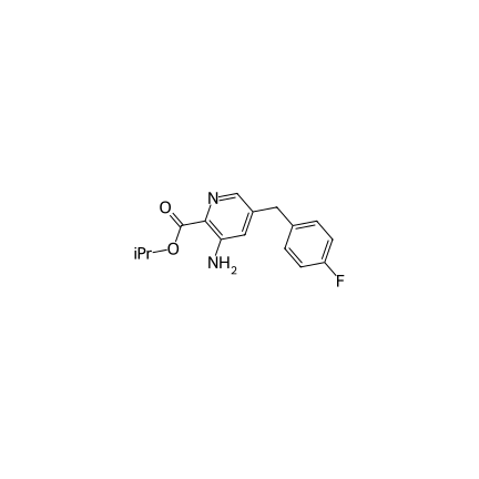 CC(C)OC(=O)c1ncc(Cc2ccc(F)cc2)cc1N